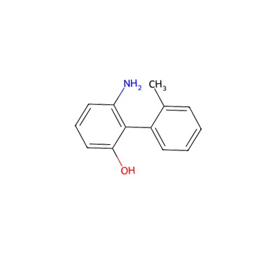 Cc1ccccc1-c1c(N)cccc1O